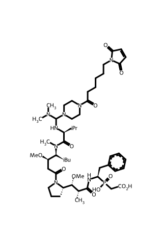 CC[C@H](C)[C@@H]([C@@H](CC(=O)N1CCC[C@H]1[C@H](OC)[C@@H](C)C(=O)N[C@@H](Cc1ccccc1)P(=O)(O)CC(=O)O)OC)N(C)C(=O)[C@@H](NC(N(C)C)N1CCN(C(=O)CCCCCN2C(=O)C=CC2=O)CC1)C(C)C